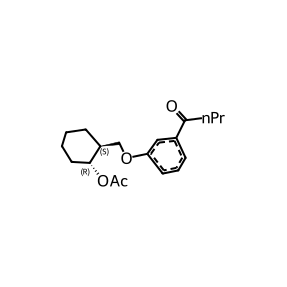 CCCC(=O)c1cccc(OC[C@@H]2CCCC[C@H]2OC(C)=O)c1